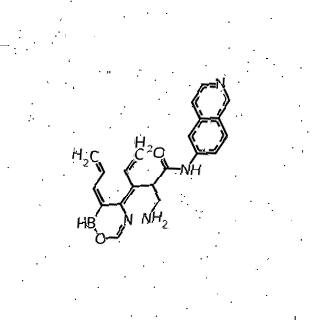 C=C/C=C1/BOC=N/C1=C(/C=C)C(CN)C(=O)Nc1ccc2cnccc2c1